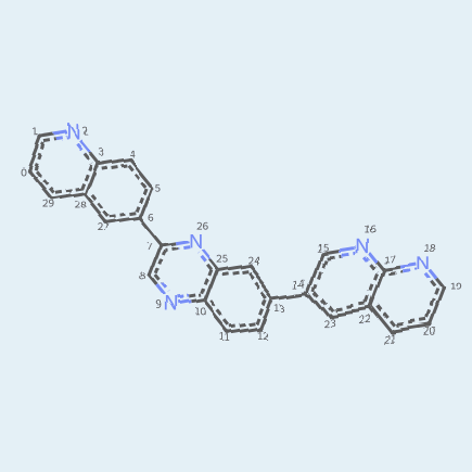 c1cnc2ccc(-c3cnc4ccc(-c5cnc6ncccc6c5)cc4n3)cc2c1